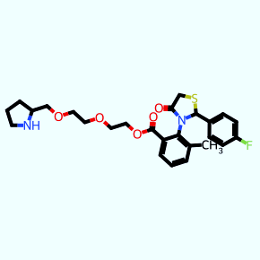 Cc1cccc(C(=O)OCCOCCOCC2CCCN2)c1N1C(=O)CSC1c1ccc(F)cc1